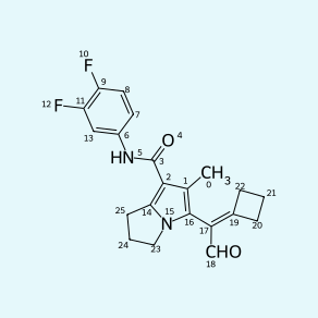 Cc1c(C(=O)Nc2ccc(F)c(F)c2)c2n(c1C(C=O)=C1CCC1)CCC2